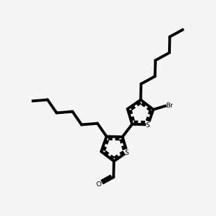 CCCCCCc1cc(-c2sc(C=O)cc2CCCCCC)sc1Br